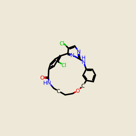 O=C1NCCCCOCc2cccc(c2)Nc2ncc(Cl)c(n2)-c2ccc1cc2Cl